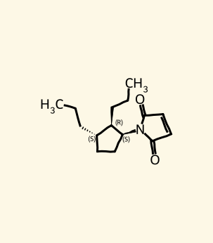 CCC[C@H]1CC[C@H](N2C(=O)C=CC2=O)[C@@H]1CCC